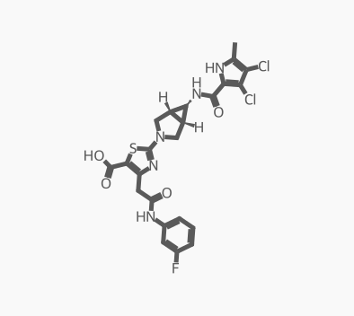 Cc1[nH]c(C(=O)N[C@@H]2[C@@H]3CN(c4nc(CC(=O)Nc5cccc(F)c5)c(C(=O)O)s4)C[C@@H]32)c(Cl)c1Cl